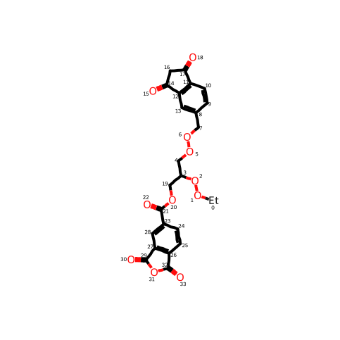 CCOOC(COOCc1ccc2c(c1)C(=O)CC2=O)COC(=O)c1ccc2c(c1)C(=O)OC2=O